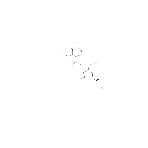 COC(=O)C1CC(O)C(OCC(O)C2CCCC(OC)C2OC)C(OC)C1